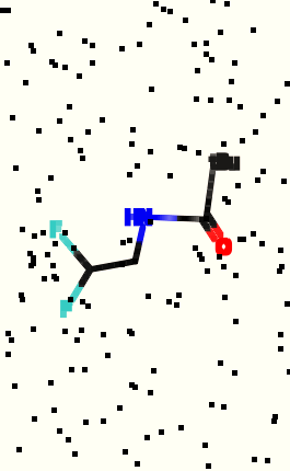 CC(C)(C)C(=O)NCC(F)F